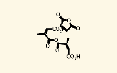 C/C(=C/C(=O)O)C(=O)OC(=O)/C(C)=C\C(=O)O.O=C1C=CC(=O)O1